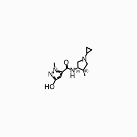 C[C@@H]1CN(C2CC2)C[C@@H]1NC(=O)c1cc(O)nn1C